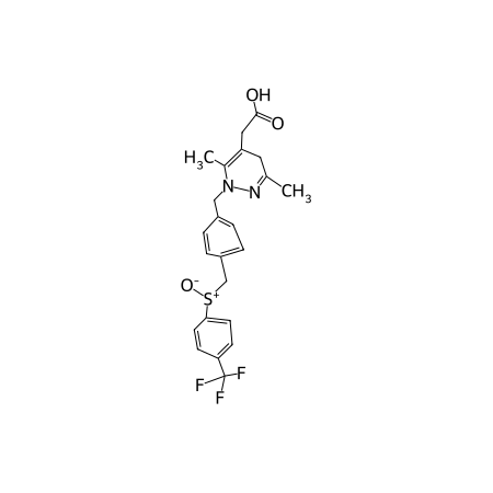 CC1=NN(Cc2ccc(C[S+]([O-])c3ccc(C(F)(F)F)cc3)cc2)C(C)=C(CC(=O)O)C1